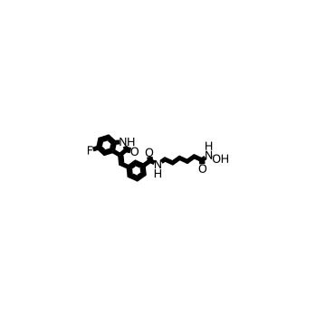 O=C(CCCCCNC(=O)c1cccc(C=C2C(=O)Nc3ccc(F)cc32)c1)NO